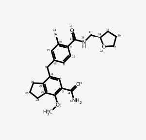 COc1c(C(N)=O)cc(Cc2ccc(C(=O)NC[C@H]3CCCO3)c(F)c2)c2c1CCC2